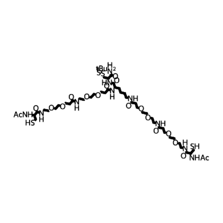 CC(=O)NC(CS)C(=O)NCCOCCOCCC(=O)NCCOCCOCCC(=O)NCCCCC(NC(=O)CCOCCOCCNC(=O)CCOCCOCCNC(=O)C(CS)NC(C)=O)C(=O)NC(CSSC(C)(C)C)C(N)=O